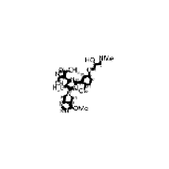 CNC[C@@H](O)COc1ccc(Cl)c(-c2nc(-c3c(C)noc3C)c(C)c(N3Cc4ncnc(OC)c4C3)n2)c1